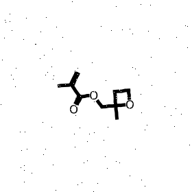 C=C(C)C(=O)OCC1(C)CCO1